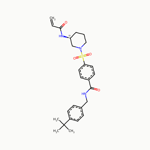 C=CC(=O)N[C@H]1CCCN(S(=O)(=O)c2ccc(C(=O)NCc3ccc(C(C)(C)C)cc3)cc2)C1